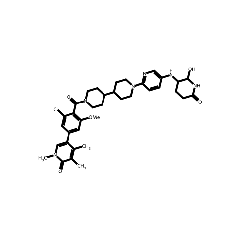 COc1cc(-c2cn(C)c(=O)c(C)c2C)cc(Cl)c1C(=O)N1CCC(C2CCN(c3ccc(NC4CCC(=O)NC4O)cn3)CC2)CC1